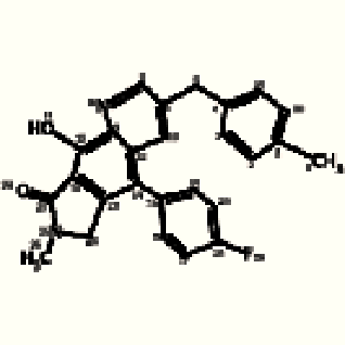 Cc1ccc(Cc2cnc3c(O)c4c(c(-c5ccc(F)cc5)c3c2)CN(C)C4=O)cc1